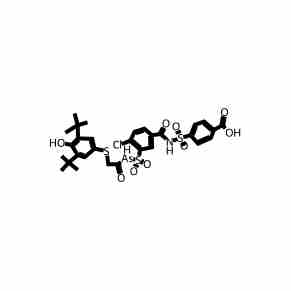 CC(C)(C)c1cc(SCC(=O)[AsH]S(=O)(=O)c2cc(C(=O)NS(=O)(=O)c3ccc(C(=O)O)cc3)ccc2Cl)cc(C(C)(C)C)c1O